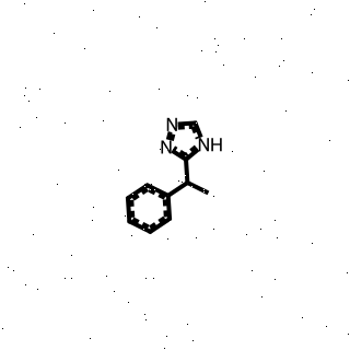 CC(c1ccccc1)c1nnc[nH]1